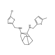 Cc1ccc(CNC2C3CC4CC(C3)CC2(NCc2ccc(Cl)s2)C4)s1